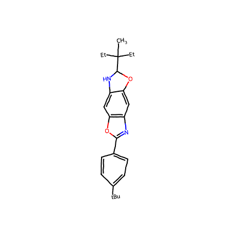 CCC(C)(CC)C1Nc2cc3oc(-c4ccc(C(C)(C)C)cc4)nc3cc2O1